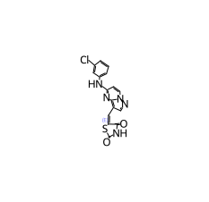 O=C1NC(=O)/C(=C\c2cnn3ccc(Nc4cccc(Cl)c4)nc23)S1